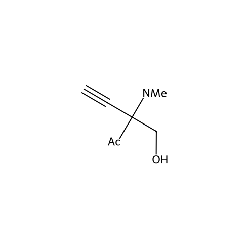 C#CC(CO)(NC)C(C)=O